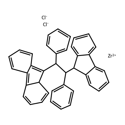 C1=CC2=c3ccccc3=C(C(c3ccccc3)C(c3ccccc3)C3c4ccccc4-c4ccccc43)C2C=C1.[Cl-].[Cl-].[Zr+2]